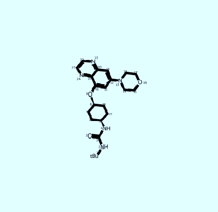 CC(C)(C)NC(=O)N[C@H]1CC[C@@H](Oc2cc(N3CCOCC3)cc3nccnc23)CC1